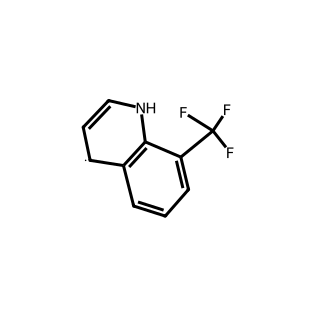 FC(F)(F)c1cccc2c1NC=C[CH]2